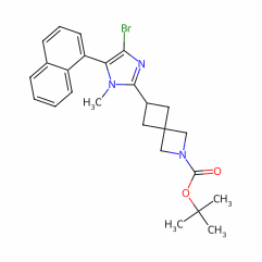 Cn1c(C2CC3(C2)CN(C(=O)OC(C)(C)C)C3)nc(Br)c1-c1cccc2ccccc12